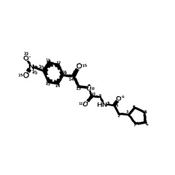 O=C(CC1CCCC1)NCC(=O)OCC(=O)c1ccc([N+](=O)[O-])cc1